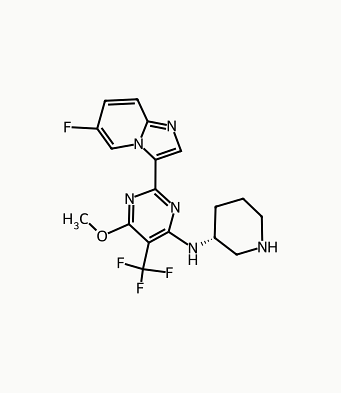 COc1nc(-c2cnc3ccc(F)cn23)nc(N[C@@H]2CCCNC2)c1C(F)(F)F